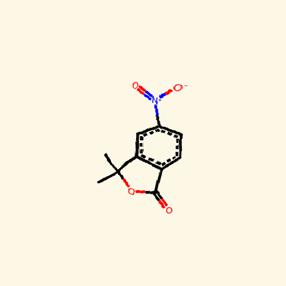 CC1(C)OC(=O)c2ccc([N+](=O)[O-])cc21